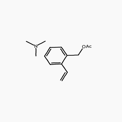 C=Cc1ccccc1COC(C)=O.CN(C)C